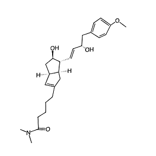 COc1ccc(C[C@H](O)/C=C/[C@@H]2[C@H]3CC(CCCCC(=O)N(C)C)=C[C@H]3C[C@H]2O)cc1